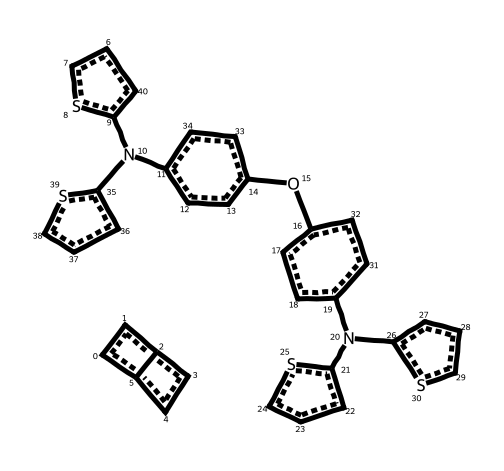 c1cc2ccc1-2.c1csc(N(c2ccc(Oc3ccc(N(c4cccs4)c4cccs4)cc3)cc2)c2cccs2)c1